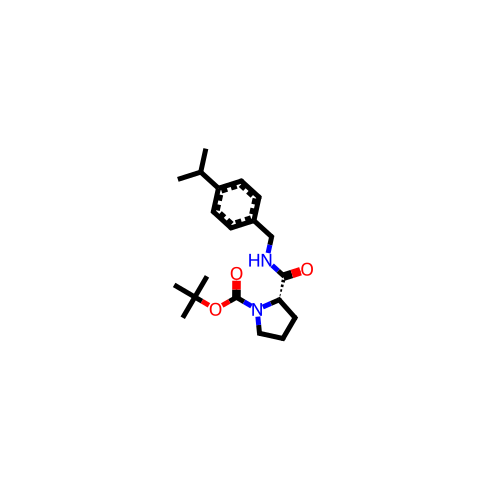 CC(C)c1ccc(CNC(=O)[C@@H]2CCCN2C(=O)OC(C)(C)C)cc1